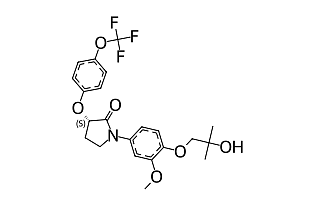 COc1cc(N2CC[C@H](Oc3ccc(OC(F)(F)F)cc3)C2=O)ccc1OCC(C)(C)O